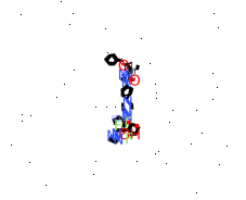 C/C=C\C(=N/N1CCN(c2ccc(-n3cnn([C@@H](CC)[C@H](C)OCc4ccccc4)c3=O)cc2)CC1)C(F)(F)C(O)(Cn1nccn1)c1ccccc1F